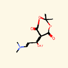 CN(C)/C=C/C(O)=C1C(=O)OC(C)(C)OC1=O